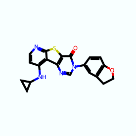 O=c1c2sc3nccc(NC4CC4)c3c2ncn1-c1ccc2c(c1)CCO2